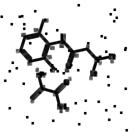 C=C(CCC)C(N)=O.CCN(CC)CC(=O)Nc1c(C)cccc1C